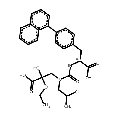 CCOC(O)(CN(CC(C)C)C(=O)N[C@@H](Cc1ccc(-c2cccc3ccccc23)cc1)C(=O)O)C(=O)O